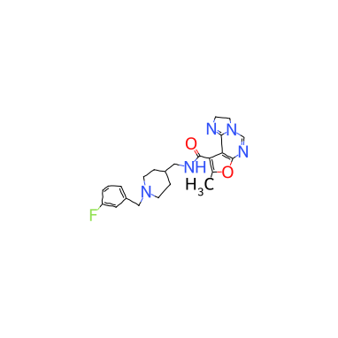 Cc1oc2c(c1C(=O)NCC1CCN(Cc3cccc(F)c3)CC1)C1=NCCN1C=N2